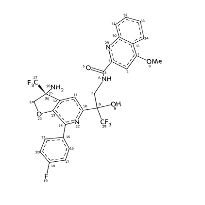 COc1cc(C(=O)NCC(O)(c2cc3c(c(-c4ccc(F)cc4)n2)OC[C@@]3(N)C(F)(F)F)C(F)(F)F)nc2ccccc12